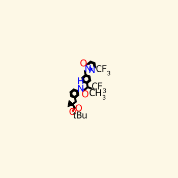 CC(C(C(=O)Nc1cccc(CC2(C(=O)OC(C)(C)C)CC2)c1)c1ccc(Cn2nc(C(F)(F)F)ccc2=O)cc1)C(F)(F)F